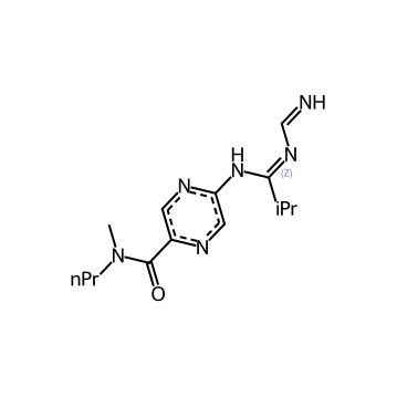 CCCN(C)C(=O)c1cnc(N/C(=N\C=N)C(C)C)cn1